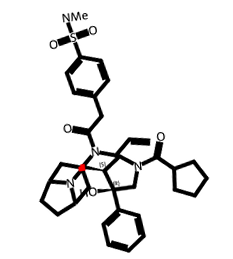 C=CCN(C(=O)Cc1ccc(S(=O)(=O)NC)cc1)C1CC2CCC(C1)N2C[C@H]1CN(C(=O)C2CCCC2)C[C@]1(O)c1ccccc1